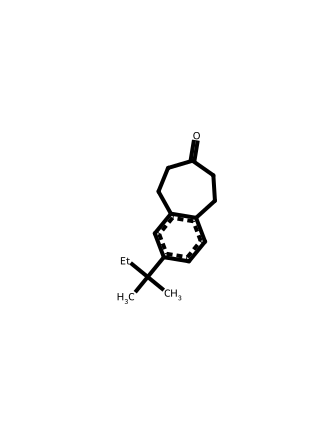 CCC(C)(C)c1ccc2c(c1)CCC(=O)CC2